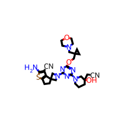 N#CCC1(O)CCCN(c2nc(OCC3(CN4CCOCC4)CC3)nc(N3CC4(CCc5sc(N)c(C#N)c54)C3)n2)C1